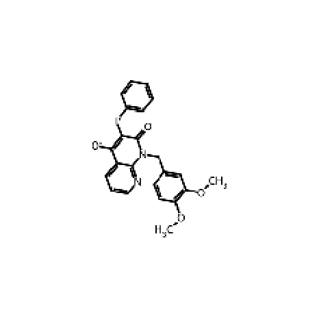 COc1ccc(Cn2c(=O)c([I+]c3ccccc3)c([O-])c3cccnc32)cc1OC